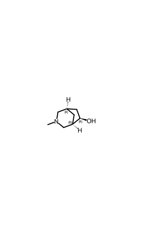 CN1C[C@@H]2C[C@H](C1)[C@H](O)C2